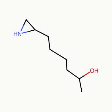 CC(O)CCCCC1CN1